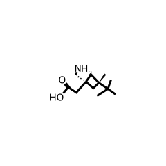 CC(C)(C)[C@]1(C)C[C@@](CN)(CC(=O)O)C1